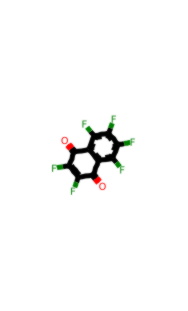 O=C1C(F)=C(F)C(=O)c2c(F)c(F)c(F)c(F)c21